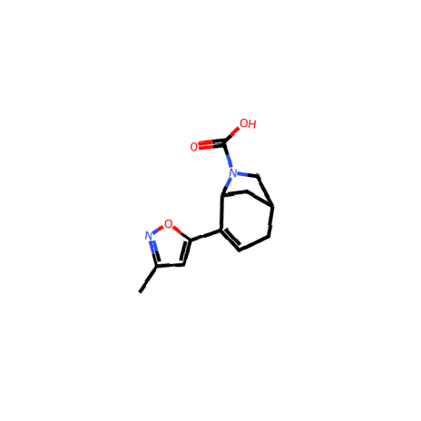 Cc1cc(C2=CCC3CC2N(C(=O)O)C3)on1